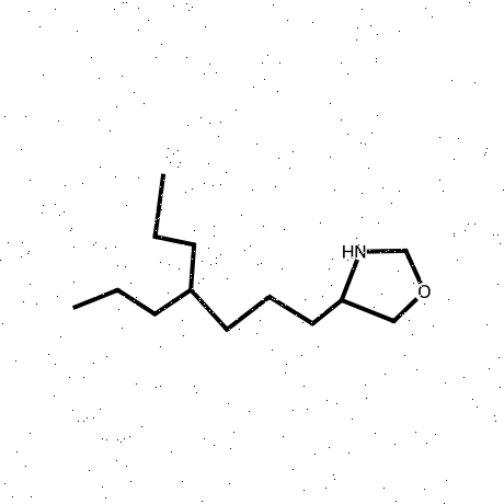 CCCC(CCC)CCCC1COCN1